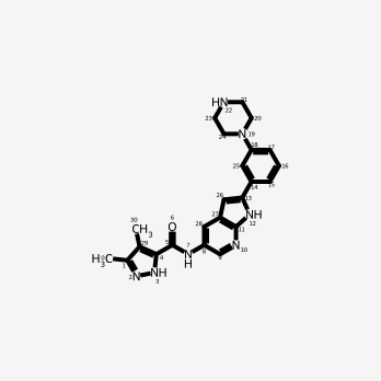 Cc1n[nH]c(C(=O)Nc2cnc3[nH]c(-c4cccc(N5CCNCC5)c4)cc3c2)c1C